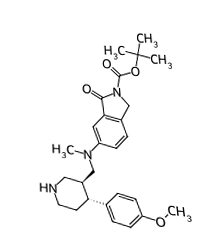 COc1ccc([C@@H]2CCNC[C@H]2CN(C)c2ccc3c(c2)C(=O)N(C(=O)OC(C)(C)C)C3)cc1